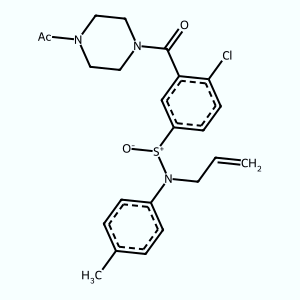 C=CCN(c1ccc(C)cc1)[S+]([O-])c1ccc(Cl)c(C(=O)N2CCN(C(C)=O)CC2)c1